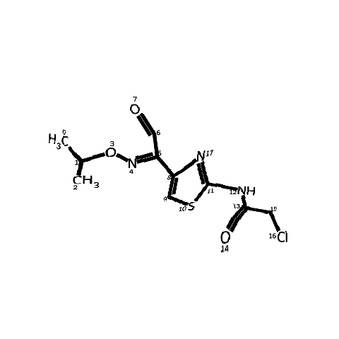 CC(C)ON=C([C]=O)c1csc(NC(=O)CCl)n1